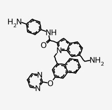 NCc1ccc2cc(C(=O)Nc3ccc(N)cc3)n(Cc3cc(Oc4ncccn4)cc4ccccc34)c2c1